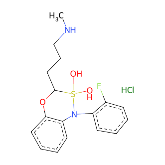 CNCCCC1Oc2ccccc2N(c2ccccc2F)S1(O)O.Cl